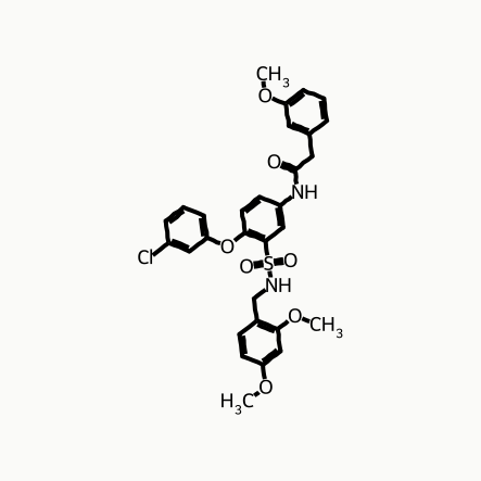 COc1cccc(CC(=O)Nc2ccc(Oc3cccc(Cl)c3)c(S(=O)(=O)NCc3ccc(OC)cc3OC)c2)c1